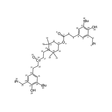 CC(C)Cc1cc(CCC(=O)OC2CC(C)(C)N(C[CH2][Co](=[O])[CH2]Cc3cc(CC(C)C)c(O)c(C(C)(C)C)c3)C(C)(C)C2)cc(C(C)(C)C)c1O